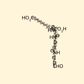 O=CCOCCOCCNC(=O)COCCOCCNC(=O)CC[C@H](NC(=O)CCCCCCCCCCCCC(=O)O)C(=O)O